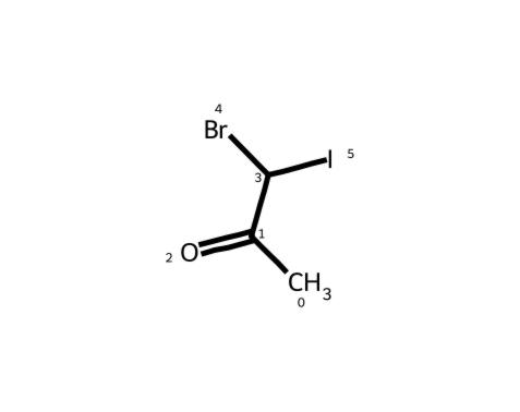 CC(=O)C(Br)I